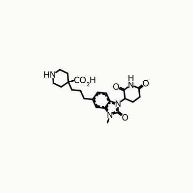 Cn1c(=O)n(C2CCC(=O)NC2=O)c2ccc(CCCC3(C(=O)O)CCNCC3)cc21